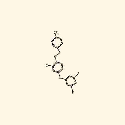 Fc1cc(F)cc(Oc2ccc(OCc3ccc(C(F)(F)F)cc3)c(Cl)c2)c1